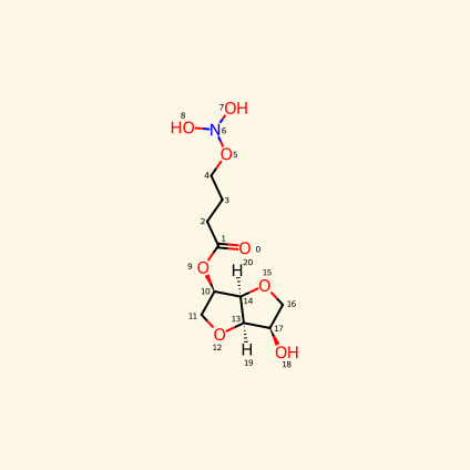 O=C(CCCON(O)O)O[C@@H]1CO[C@H]2[C@@H]1OC[C@H]2O